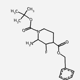 CC(C)(C)OC(=O)N1CCC(C(=O)OCc2ccccc2)C(F)C1N